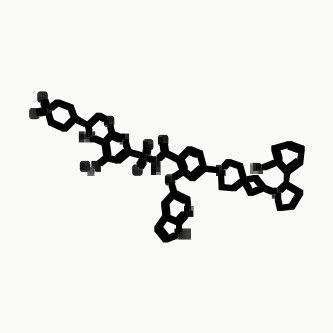 CC(C)c1ccccc1[C@H]1CCCN1C1CC2(CCN(c3ccc(C(=O)NS(=O)(=O)c4cc([N+](=O)[O-])c5c(n4)OC[C@H](C4CCS(=O)(=O)CC4)N5)c(Oc4cnc5[nH]ccc5c4)c3)CC2)C1